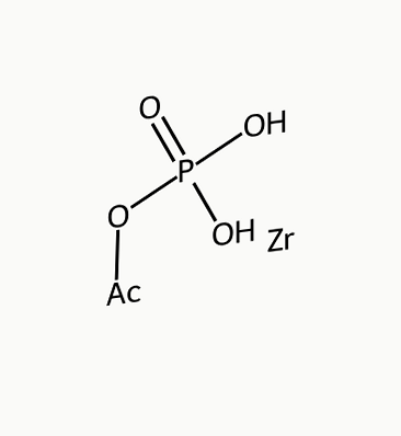 CC(=O)OP(=O)(O)O.[Zr]